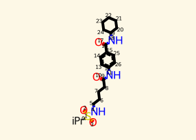 CC(C)S(=O)(=O)NCCCCC(=O)Nc1ccc(C(=O)NC2CCCCC2)cc1